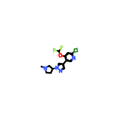 CN1CCC(n2cc(-c3cnc(Cl)cc3OC(F)F)cn2)C1